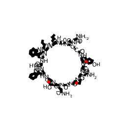 CCCC[C@H]1C(=O)N(C)[C@@H](CCCC)C(=O)NCC(=O)N[C@H](C(=O)NCC(N)=O)CSCC(=O)N[C@@H](Cc2ccc(O)cc2)C(=O)N(C)[C@@H](C)C(=O)N[C@@H](CC(N)=O)C(=O)N2CCC[C@H]2C(=O)NCC(=O)N[C@@H](CCC(N)=O)C(=O)N2C[C@H](O)C[C@H]2C(=O)N[C@@H](Cc2c[nH]c3ccccc23)C(=O)N[C@@H](CO)C(=O)N[C@@H](Cc2c[nH]c3ccccc23)C(=O)N1C